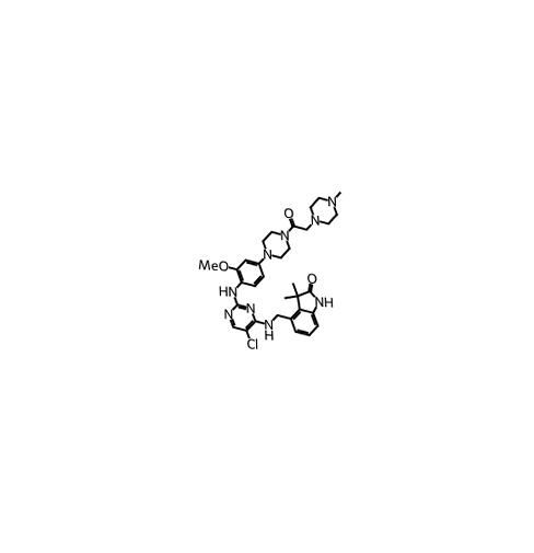 COc1cc(N2CCN(C(=O)CN3CCN(C)CC3)CC2)ccc1Nc1ncc(Cl)c(NCc2cccc3c2C(C)(C)C(=O)N3)n1